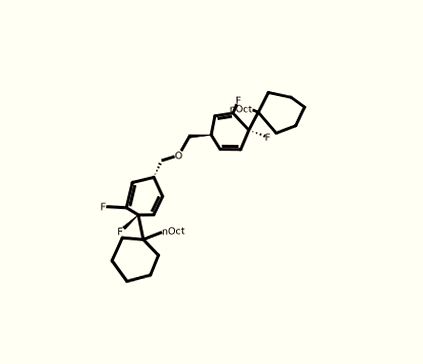 CCCCCCCCC1([C@@]2(F)C=C[C@@H](COC[C@@H]3C=C[C@](F)(C4(CCCCCCCC)CCCCC4)C(F)=C3)C=C2F)CCCCC1